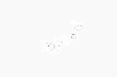 Cc1cccc(-c2csc(N3CCN(S(=O)(=O)c4cc(C)c(Cl)cc4Cl)CC3)n2)c1